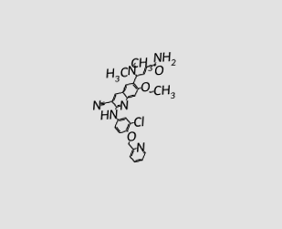 CCOc1cc2nc(Nc3ccc(OCc4ccccn4)c(Cl)c3)c(C#N)cc2cc1C(C=CC(N)=O)N(C)C